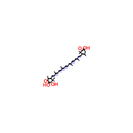 CC1=C(/C=C/C(C)=C/C=C/C(C)=C/C=C/C=C(C)/C=C/C=C(C)/C=C/C2=C(C)C(=O)[C@@H](O)C(O)C2(C)C)C(C)(C)C(=O)[C@H](O)C1